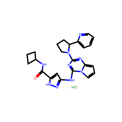 Cl.O=C(NC1CCC1)c1cc(Nc2nc(N3CCCC3c3ccccn3)nc3cccn23)n[nH]1